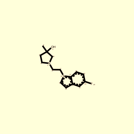 CC1(O)CCN(CCn2ccc3cc(F)ccc32)C1